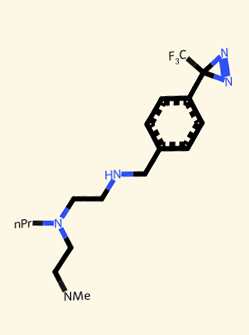 CCCN(CCNC)CCNCc1ccc(C2(C(F)(F)F)N=N2)cc1